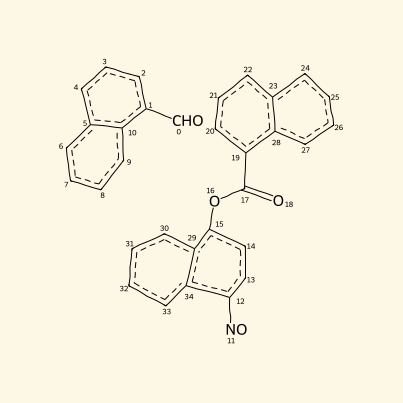 O=Cc1cccc2ccccc12.O=Nc1ccc(OC(=O)c2cccc3ccccc23)c2ccccc12